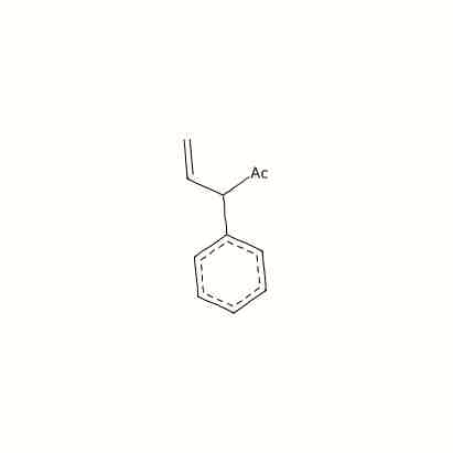 C=CC(C(C)=O)c1ccccc1